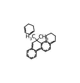 C1=CCCC=C1.CC1(C)C=c2ccccc2=c2ccc3c(c21)CCCC=3